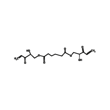 C=CC(=O)C(O)COC(=O)CCCCC(=O)OCC(O)C(=O)C=C